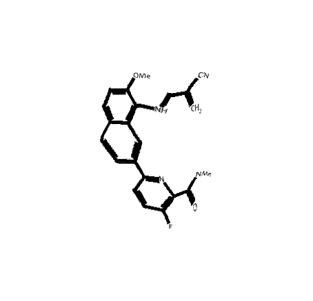 C=C(C#N)CNc1c(OC)ccc2ccc(-c3ccc(F)c(C(=O)NC)n3)cc12